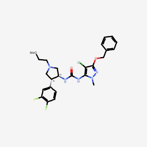 COCCN1C[C@@H](NC(=O)Nc2c(Cl)c(OCc3ccccc3)nn2C)[C@H](c2ccc(F)c(F)c2)C1